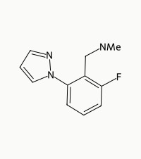 CNCc1c(F)cccc1-n1cccn1